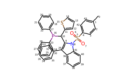 Cc1ccc(S(=O)(=O)n2c(C(c3cccs3)P(c3ccccc3)c3ccccc3)c(-c3ccccc3)c3ccccc32)cc1